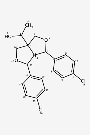 CC(O)C12COC(c3ccc(Cl)cc3)N1C(c1ccc(Cl)cc1)OC2